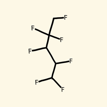 FCC(F)(F)C(F)C(F)[C](F)F